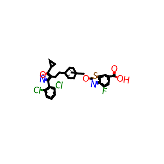 O=C(O)c1cc(F)c2nc(OCC34CCC(CCc5c(-c6c(Cl)cccc6Cl)noc5C5CC5)(CC3)CC4)sc2c1